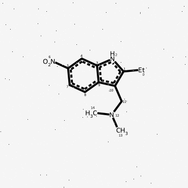 CCc1[nH]c2cc([N+](=O)[O-])ccc2c1CN(C)C